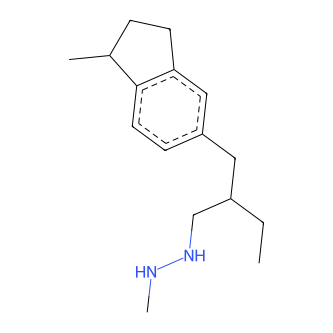 CCC(CNNC)Cc1ccc2c(c1)CCC2C